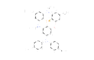 Cc1ccc(N(c2ccc(C)cc2)c2cc3c4c(c2)N(C(C)(C)C)c2cc(C)cc5c2P4(=S)c2c(cc(C)cc2N5C(C)(C)C)O3)cc1